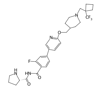 O=C(NC(=O)[C@@H]1CCCN1)c1ccc(-c2ccc(OCC3CCN(CC4(C(F)(F)F)CCC4)CC3)nc2)cc1F